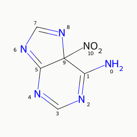 NC1=NC=NC2=NC=NC12[N+](=O)[O-]